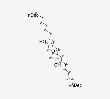 CCCCCCCCCCCCCCCCCCOCCCCCCCCCCCCCCCCCC.OCCOCCO